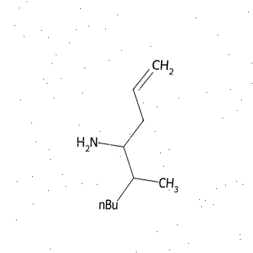 C=CCC(N)C(C)CCCC